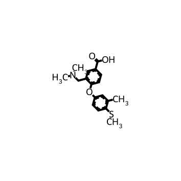 CSc1ccc(Oc2ccc(C(=O)O)cc2CN(C)C)cc1C